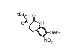 COc1cc2c(cc1[N+](=O)[O-])CC[C@H](C(=O)OC(C)(C)C)C(=O)N2